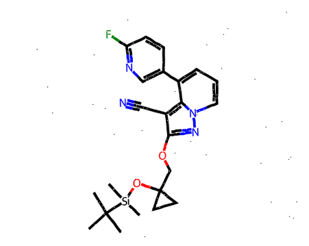 CC(C)(C)[Si](C)(C)OC1(COc2nn3cccc(-c4ccc(F)nc4)c3c2C#N)CC1